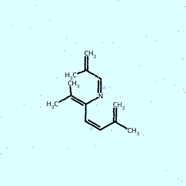 C=C(C)/C=C\C(/N=C\C(=C)C)=C(C)C